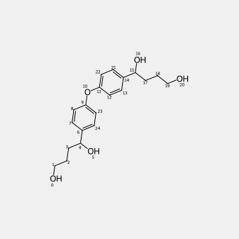 OCCCC(O)c1ccc(Oc2ccc(C(O)CCCO)cc2)cc1